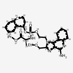 CCOCc1nc2c(N)nc3ccccc3c2n1CCO[P@](=O)(N[C@@H](C)C(=O)OC(C)C)Oc1cccc2ccccc12